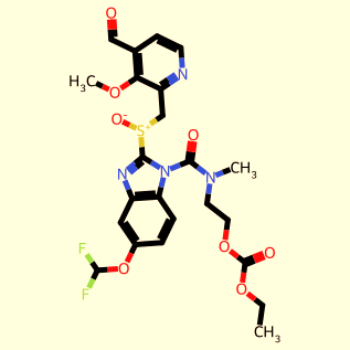 CCOC(=O)OCCN(C)C(=O)n1c([S+]([O-])Cc2nccc(C=O)c2OC)nc2cc(OC(F)F)ccc21